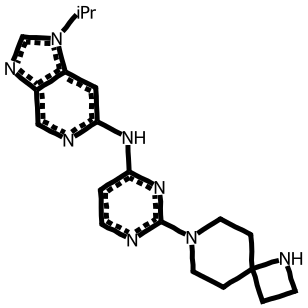 CC(C)n1cnc2cnc(Nc3ccnc(N4CCC5(CCN5)CC4)n3)cc21